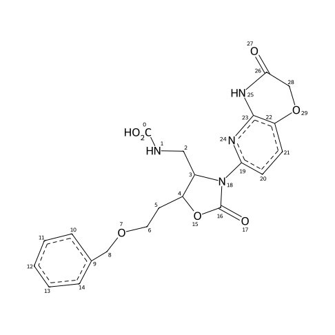 O=C(O)NCC1C(CCOCc2ccccc2)OC(=O)N1c1ccc2c(n1)NC(=O)CO2